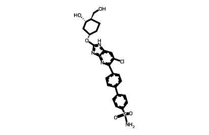 NS(=O)(=O)c1ccc(-c2ccc(-c3nc4nc(O[C@H]5CC[C@H](CO)[C@@H](O)C5)[nH]c4cc3Cl)cc2)cc1